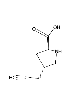 C#CC[C@H]1CN[C@H](C(=O)O)C1